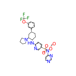 O=CON(c1ccncn1)S(=O)(=O)c1ccc(N[C@H]2CC[C@H](c3cccc(OC(F)(F)F)c3)C[C@@H]2N2CCCC2)nc1